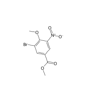 COC(=O)c1cc(Br)c(OC)c([N+](=O)[O-])c1